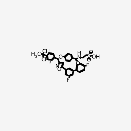 CC(C)(C)c1ccc(C(Oc2ccc(C(=O)NCCS(=O)(=O)O)cc2)c2cc(-c3cc(F)cc(-c4ccc(F)cc4)c3)on2)cc1